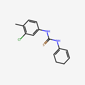 Cc1ccc(NC(=S)NC2=CC[CH]C=C2)cc1Cl